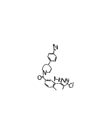 Cc1ccc(C(=O)N2CCC(c3ccc(C#N)cc3)CC2)cc1-c1[nH]nc(Cl)c1C